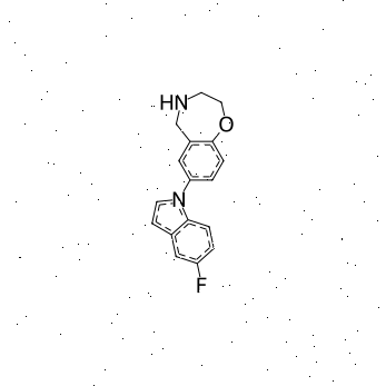 Fc1ccc2c(ccn2-c2ccc3c(c2)CNCCO3)c1